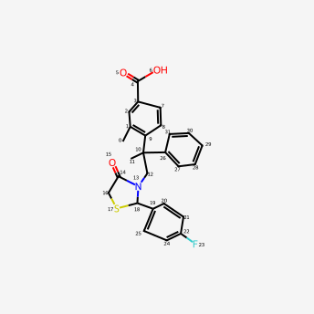 Cc1cc(C(=O)O)ccc1C(C)(CN1C(=O)CSC1c1ccc(F)cc1)c1ccccc1